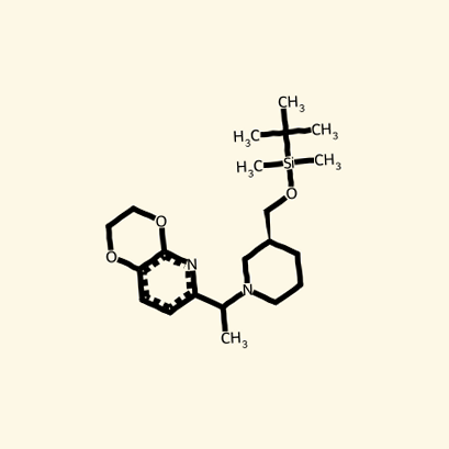 CC(c1ccc2c(n1)OCCO2)N1CCC[C@H](CO[Si](C)(C)C(C)(C)C)C1